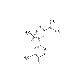 Cc1cc(N(CC(=O)N(C)C)S(C)(=O)=O)ccc1Cl